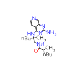 CCCC[C@H](C)C(=O)NCC(C)(CCCC)Nc1nc(N)nc2cnccc12